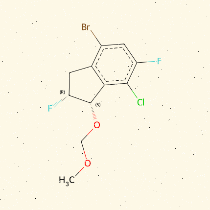 COCO[C@H]1c2c(Cl)c(F)cc(Br)c2C[C@H]1F